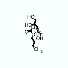 CC(C)O.CCCCOC(C)=O.OCC(O)CO